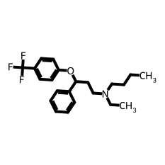 CCCCN(CC)CCC(Oc1ccc(C(F)(F)F)cc1)c1ccccc1